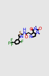 Cn1c(=O)c2c(CC(=O)Nc3nc(-c4cc(C(F)(F)F)ccc4F)cs3)nccc2n(C)c1=O